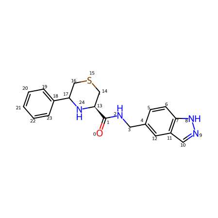 O=C(NCc1ccc2[nH]ncc2c1)[C@@H]1[CH]SCC(c2ccccc2)N1